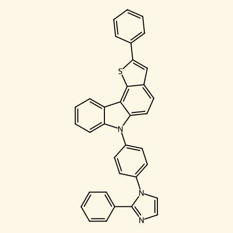 c1ccc(-c2cc3ccc4c(c5ccccc5n4-c4ccc(-n5ccnc5-c5ccccc5)cc4)c3s2)cc1